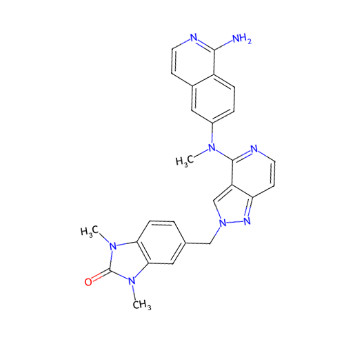 CN(c1ccc2c(N)nccc2c1)c1nccc2nn(Cc3ccc4c(c3)n(C)c(=O)n4C)cc12